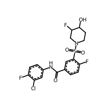 O=C(Nc1ccc(F)c(Cl)c1)c1ccc(F)c(S(=O)(=O)N2CCC(O)C(F)C2)c1